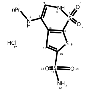 CCCNC1=CNS(=O)(=O)c2sc(S(N)(=O)=O)cc21.Cl